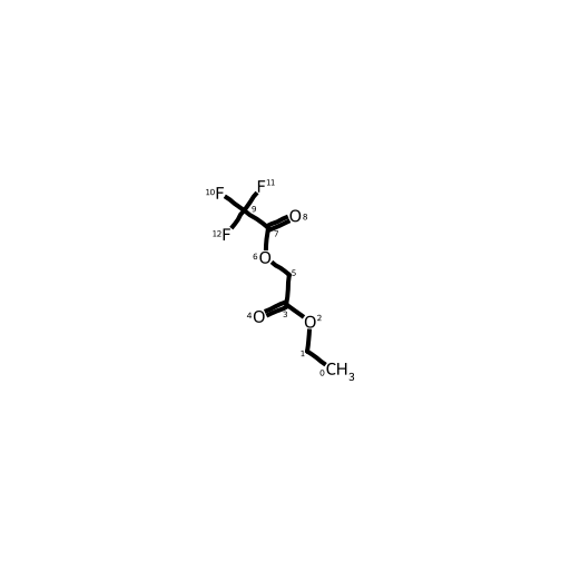 CCOC(=O)COC(=O)C(F)(F)F